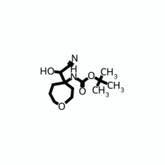 CC(C)(C)OC(=O)NC1(C(O)C#N)CCCOCC1